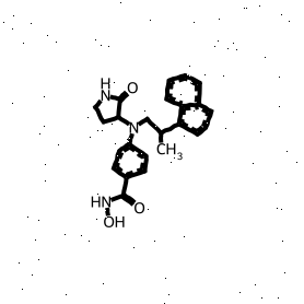 CC(CN(c1ccc(C(=O)NO)cc1)C1CCNC1=O)c1cccc2ccccc12